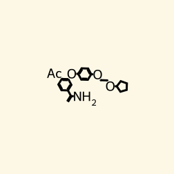 C=C(N)c1ccc(C(C)=O)c(Oc2ccc(OCCOC3CCCC3)cc2)c1